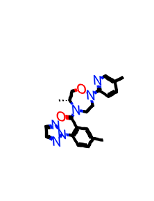 Cc1ccc(N2CCN(C(=O)c3cc(C)ccc3-n3nccn3)[C@H](C)CO2)nc1